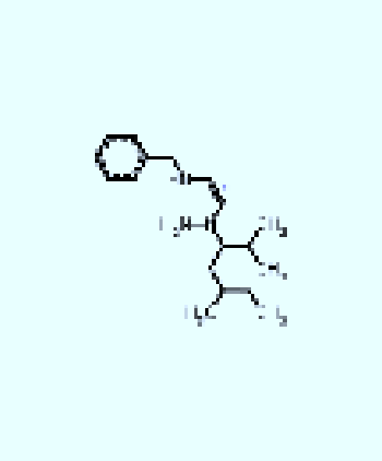 CCC(C)CC(C(C)C)N(N)/C=C\NCc1ccccc1